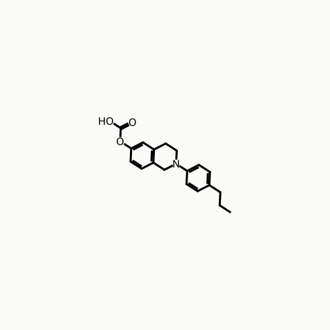 CCCc1ccc(N2CCc3cc(OC(=O)O)ccc3C2)cc1